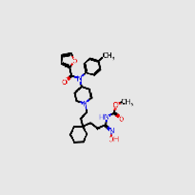 COC(=O)N/C(CCC1(CCN2CCC(N(C(=O)c3ccco3)c3ccc(C)cc3)CC2)CCCCC1)=N/O